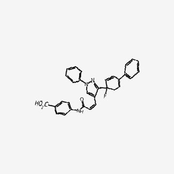 O=C(/C=C\c1cn(-c2ccccc2)nc1C1(F)C=CC(c2ccccc2)=CC1)Nc1ccc(C(=O)O)cc1